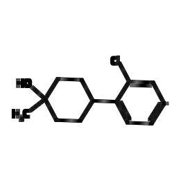 CC1(O)CCC(c2cc[c]cc2Cl)CC1